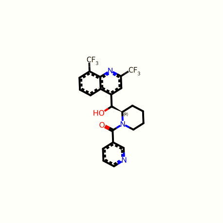 O=C(c1cccnc1)N1CCCC[C@@H]1C(O)c1cc(C(F)(F)F)nc2c(C(F)(F)F)cccc12